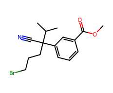 COC(=O)c1cccc(C(C#N)(CCCBr)C(C)C)c1